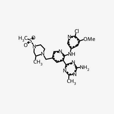 COc1cc(Nc2ncc(CN3CCN(S(C)(=O)=O)CC3C)cc2-c2nc(C)nc(N)n2)cnc1Cl